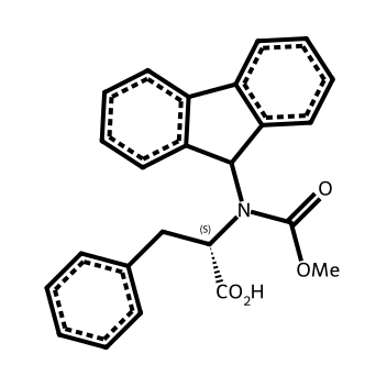 COC(=O)N(C1c2ccccc2-c2ccccc21)[C@@H](Cc1ccccc1)C(=O)O